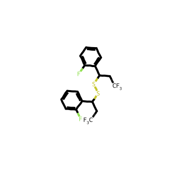 Fc1ccccc1C(CC(F)(F)F)SSC(CC(F)(F)F)c1ccccc1F